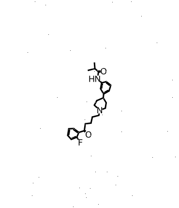 CC(C)C(=O)Nc1cccc(C2CCN(CCCCC(=O)c3ccccc3F)CC2)c1